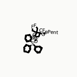 CCCCCOC(CS(=O)(=O)OS(c1ccccc1)(c1ccccc1)c1ccccc1)(C(F)(F)F)C(CF)(CF)CF